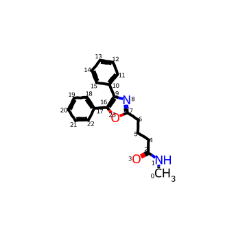 CNC(=O)CCCc1nc(-c2ccccc2)c(-c2ccccc2)o1